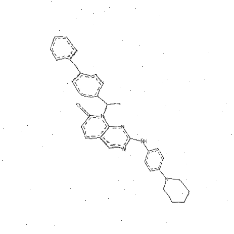 CC(c1ccc(-c2ccccc2)cc1)n1c(=O)ccc2cnc(Nc3ccc(N4CCCCC4)cc3)nc21